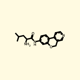 CC(C)CC(N)C(=O)Nc1ccc2c(c1)OCc1cnccc1-2